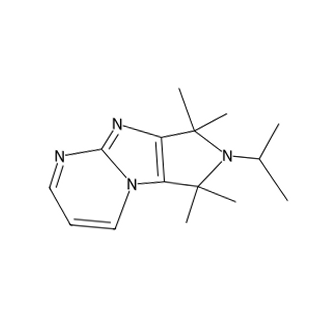 CC(C)N1C(C)(C)c2nc3ncccn3c2C1(C)C